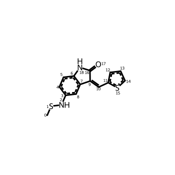 CSNc1ccc2c(c1)/C(=C/c1cccs1)C(=O)N2